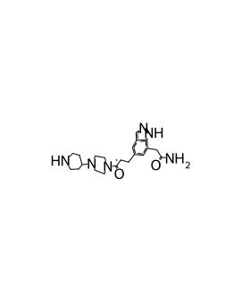 NC(=O)Cc1cc(C[CH]C(=O)N2CCN(C3CCNCC3)CC2)cc2cn[nH]c12